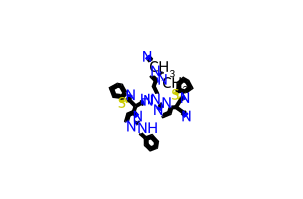 CC#N.Cn1cncc1CCNc1nccc(C(C#N)c2nc3ccccc3s2)n1.N#CC(c1ccnc(NCc2ccccc2)n1)c1nc2ccccc2s1